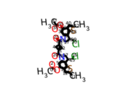 CC(=O)Oc1cc2c(c3sc(C)cc13)[C@@H](CCl)CN2C(=O)C12CC(C(=O)N3C[C@H](CCl)c4c3cc(OC(C)=O)c3cc(C)sc43)(C1)C2